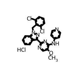 COc1cnc(-c2nn(Cc3c(Cl)cccc3Cl)c3ccccc23)nc1Nc1ccncc1.Cl